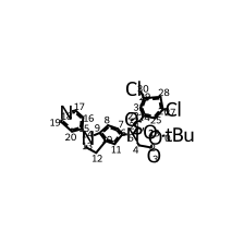 CC(C)(C)OC(=O)CN(c1ccc2c(c1)CCN2c1ccncc1)S(=O)(=O)c1cc(Cl)cc(Cl)c1